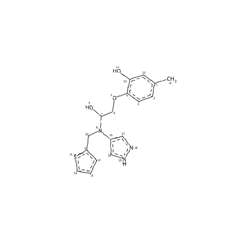 Cc1ccc(OCC(O)N(Cc2cccs2)c2cn[nH]c2)c(O)c1